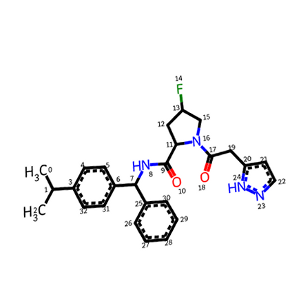 CC(C)c1ccc(C(NC(=O)C2CC(F)CN2C(=O)Cc2ccn[nH]2)c2ccccc2)cc1